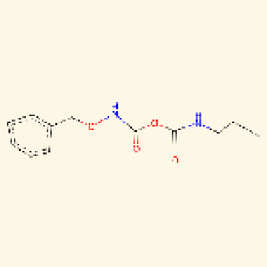 CCCNC(=O)OC(=O)NOCc1ccccc1